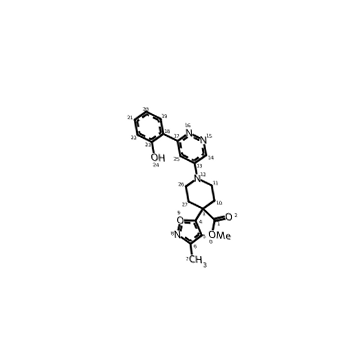 COC(=O)C1(c2cc(C)no2)CCN(c2cnnc(-c3ccccc3O)c2)CC1